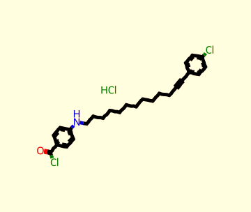 Cl.O=C(Cl)c1ccc(NCCCCCCCCCCCC#Cc2ccc(Cl)cc2)cc1